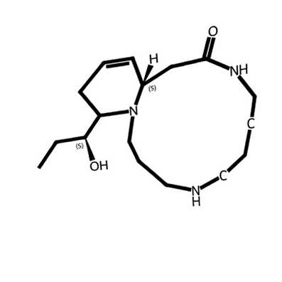 CC[C@H](O)C1CC=C[C@@H]2CC(=O)NCCCCNCCCN12